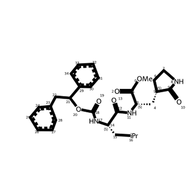 COC(=O)[C@H](C[C@@H]1CCNC1=O)NC(=O)[C@H](CC(C)C)NC(=O)OC(Cc1ccccc1)c1ccccc1